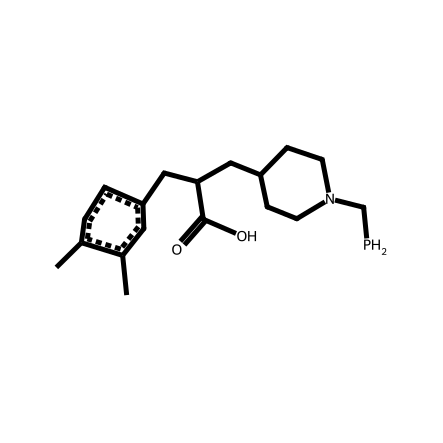 Cc1ccc(CC(CC2CCN(CP)CC2)C(=O)O)cc1C